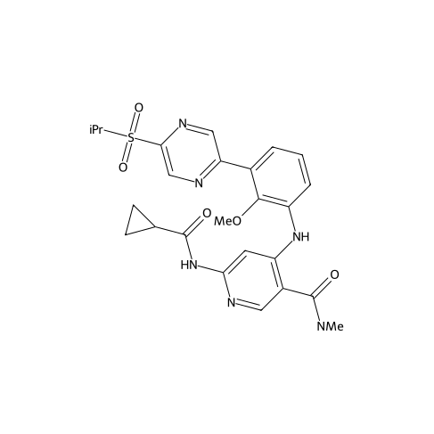 CNC(=O)c1cnc(NC(=O)C2CC2)cc1Nc1cccc(-c2cnc(S(=O)(=O)C(C)C)cn2)c1OC